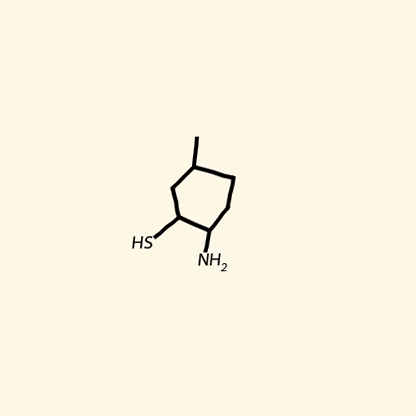 CC1CCC(N)C(S)C1